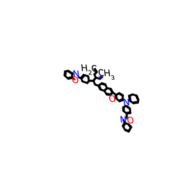 C=CCC(/C=C\C)C(CC1=CC2C=c3oc4cc(N(C5=CCC=CC=C5)c5ccc(-c6nc7ccccc7o6)cc5)ccc4c3=CC2C=C1)C1CC=C(c2nc3ccccc3o2)CC1